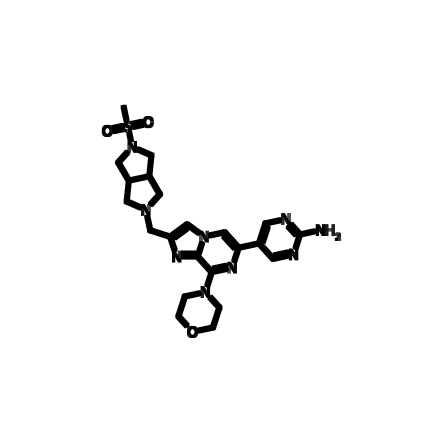 CS(=O)(=O)N1CC2CN(Cc3cn4cc(-c5cnc(N)nc5)nc(N5CCOCC5)c4n3)CC2C1